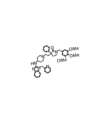 COc1cc(CN2CCC(CCN3CCC(Nc4nc5ccccc5n4Cc4ccccn4)CC3)(c3ccccc3)C2=O)cc(OC)c1OC